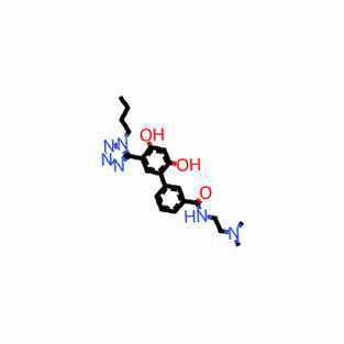 CCCCn1nnnc1-c1cc(-c2cccc(C(=O)NCCN(C)C)c2)c(O)cc1O